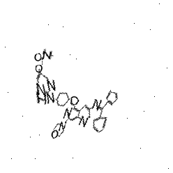 CN(C)C(=O)COc1cnc(N[C@H]2CC[C@@H](Oc3nc(N4CCOCC4)cc4ncc(N=C(c5ccccc5)c5ccccc5)cc34)CC2)nc1